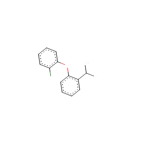 CC(C(=O)O)c1ccccc1Oc1ccccc1Cl